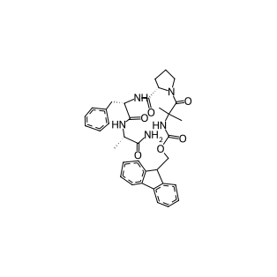 C[C@H](NC(=O)[C@H](Cc1ccccc1)NC(=O)[C@@H]1CCCN1C(=O)C(C)(C)NC(=O)OCC1c2ccccc2-c2ccccc21)C(N)=O